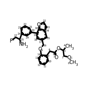 COCC(C)OC(=O)Cc1ccccc1OCc1cc(-c2cccc(C(N)CF)c2)c2occc2c1